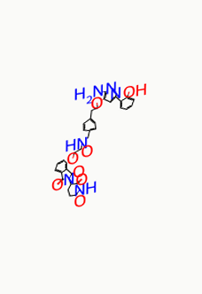 Nc1nnc(-c2ccccc2O)cc1OCCc1ccc(CNC(=O)COc2cccc3c2C(=O)N(C2CCC(=O)NC2=O)C3=O)cc1